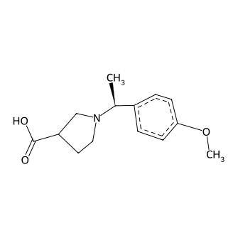 COc1ccc([C@H](C)N2CCC(C(=O)O)C2)cc1